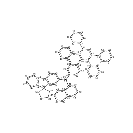 c1ccc(-c2cc(-c3ccccc3)c3c4ccccc4c4cc(N(c5ccc6c(c5)C5(CCCC5)c5ccccc5-6)c5cccc6ccccc56)ccc4c3c2-c2ccccc2)cc1